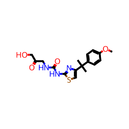 COc1ccc(C(C)(C)c2csc(NC(=O)NCC(=O)CO)n2)cc1